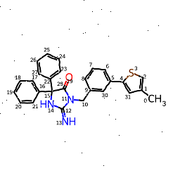 Cc1csc(-c2cccc(CN3C(=N)NC(c4ccccc4)(c4ccccc4)C3=O)c2)c1